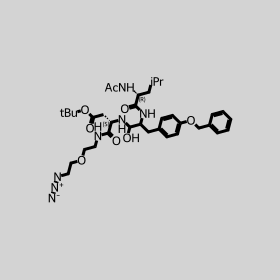 CC(=O)N[C@H](CC(C)C)C(=O)NC(Cc1ccc(OCc2ccccc2)cc1)C(O)N[C@@H](CC(=O)OC(C)(C)C)C(=O)NCCOCCN=[N+]=[N-]